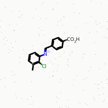 Cc1cccc(/N=C/c2ccc(C(=O)O)cc2)c1Cl